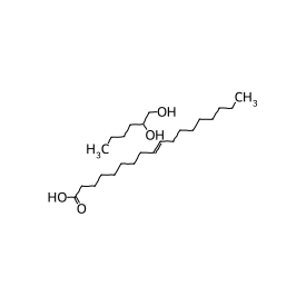 CCCCC(O)CO.CCCCCCCCC=CCCCCCCCC(=O)O